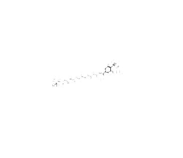 Cc1cc(NCCCCCCCCCCCCCCCC(F)(F)F)ccc1C(=O)O